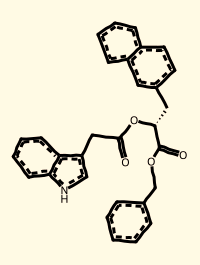 O=C(Cc1c[nH]c2ccccc12)O[C@H](Cc1ccc2ccccc2c1)C(=O)OCc1ccccc1